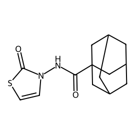 O=C(Nn1ccsc1=O)C12CC3CC(CC(C3)C1)C2